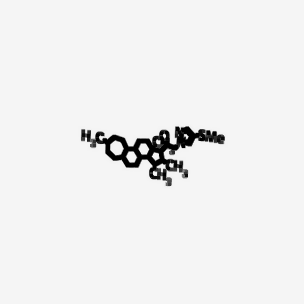 CSc1cnn(CC(=O)C2C(C)[C@@H](C)C3C4CCC5CCC(C)CCC5C4CCC23C)c1